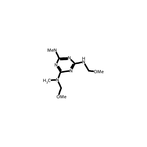 CNc1nc(NCOC)nc(N(C)COC)n1